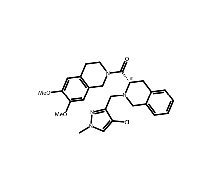 COc1cc2c(cc1OC)CN(C(=O)[C@@H]1Cc3ccccc3CN1Cc1nn(C)cc1Cl)CC2